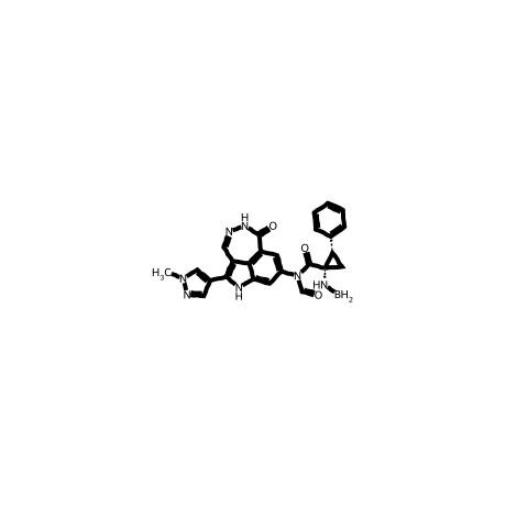 BN[C@@]1(C(=O)N(C=O)c2cc3c4c(c(-c5cnn(C)c5)[nH]c4c2)C=NNC3=O)C[C@H]1c1ccccc1